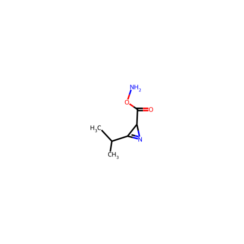 CC(C)C1=NC1C(=O)ON